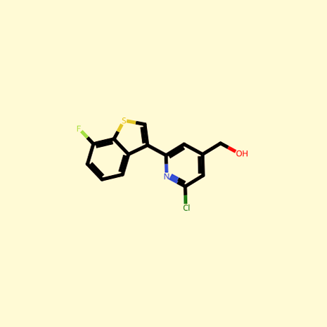 OCc1cc(Cl)nc(-c2csc3c(F)cccc23)c1